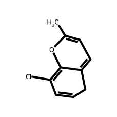 CC1=CC=C2CC=CC(Cl)=C2O1